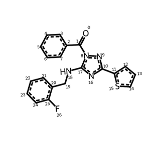 O=C(c1ccccc1)n1nc(-c2cccs2)nc1NCc1ccccc1F